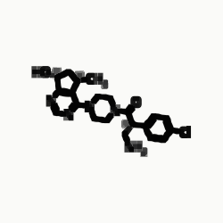 C[C@@H]1C[C@@H](O)c2ncnc(N3CCN(C(=O)[C@H](CN)c4ccc(Cl)cc4)CC3)c21